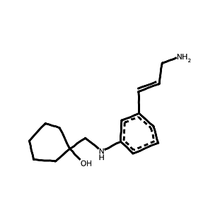 NCC=Cc1cccc(NCC2(O)CCCCC2)c1